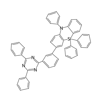 c1ccc(-c2nc(-c3ccccc3)nc(-c3cccc(-c4ccc5c(c4)[Si](c4ccccc4)(c4ccccc4)c4ccccc4N5c4ccccc4)c3)n2)cc1